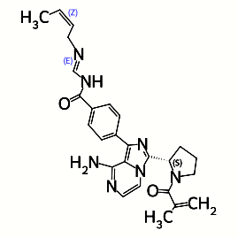 C=C(C)C(=O)N1CCC[C@H]1c1nc(-c2ccc(C(=O)N/C=N/C/C=C\C)cc2)c2c(N)nccn12